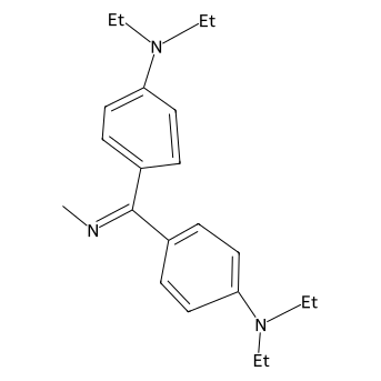 CCN(CC)c1ccc(C(=NC)c2ccc(N(CC)CC)cc2)cc1